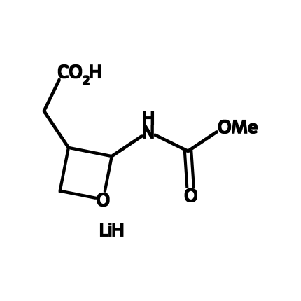 COC(=O)NC1OCC1CC(=O)O.[LiH]